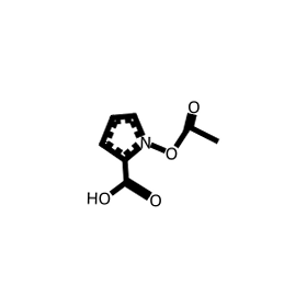 CC(=O)On1cccc1C(=O)O